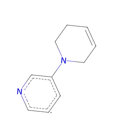 [c]1cncc(N2CC=CCC2)c1